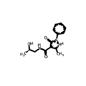 Cc1[nH]n(-c2ccccc2)c(=O)c1C(=O)NC[C@@H](C)O